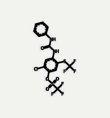 O=C(Nc1ccccc1)Nc1cc(Cl)c(OS(=O)(=O)C(F)(F)F)cc1SC(F)(F)F